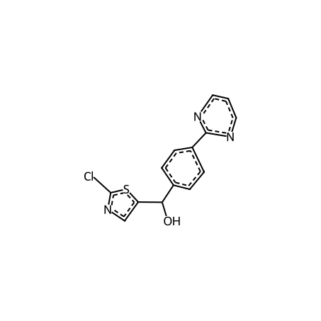 OC(c1ccc(-c2ncccn2)cc1)c1cnc(Cl)s1